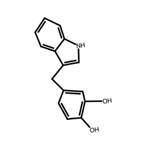 Oc1ccc(Cc2c[nH]c3ccccc23)cc1O